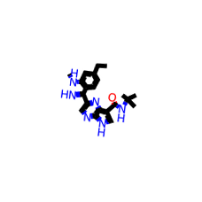 CCc1ccc(C(=N)c2cnc3[nH]cc(C(=O)NC(C)(C)C)c3n2)c(NC)c1